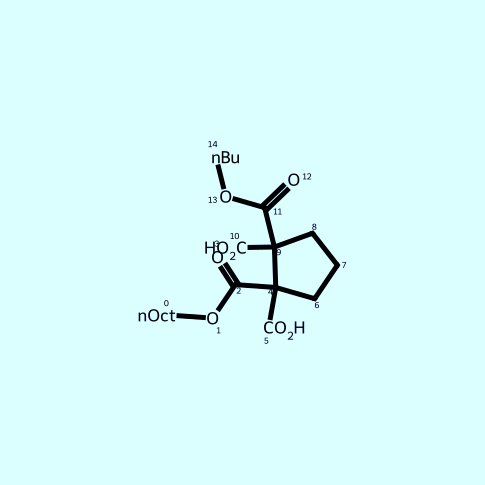 CCCCCCCCOC(=O)C1(C(=O)O)CCCC1(C(=O)O)C(=O)OCCCC